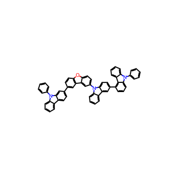 c1ccc(-n2c3ccccc3c3ccc(-c4ccc5oc6ccc(-n7c8ccccc8c8cc(-c9cccc%10c9c9ccccc9n%10-c9ccccc9)ccc87)cc6c5c4)cc32)cc1